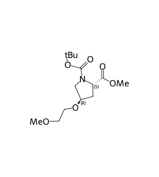 COCCO[C@@H]1C[C@@H](C(=O)OC)N(C(=O)OC(C)(C)C)C1